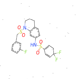 O=S(=O)(Nc1ccc2c(c1)N(S(=O)(=O)Cc1cccc(F)c1)CCC2)C1=CCC(F)(F)C=C1